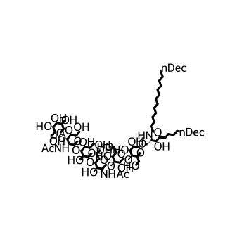 CCCCCCCCCCCCC/C=C/[C@@H](O)[C@H](CO[C@@H]1OC(CO)[C@@H](O[C@@H]2OC(CO)[C@H](O)[C@H](O[C@@H]3OC(CO)[C@@H](O[C@@H]4OC(CO)[C@H](O)[C@H](O[C@@H]5OC(CO)[C@@H](O[C@@H]6OC(CO)[C@H](O)[C@H](O)C6O)[C@H](O)C5NC(C)=O)C4O)[C@H](O)C3NC(C)=O)C2O)[C@H](O)C1O)NC(=O)CCCCCCCCCCCCCCCCCCCCCCC